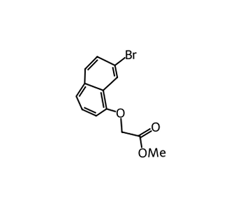 COC(=O)COc1cccc2ccc(Br)cc12